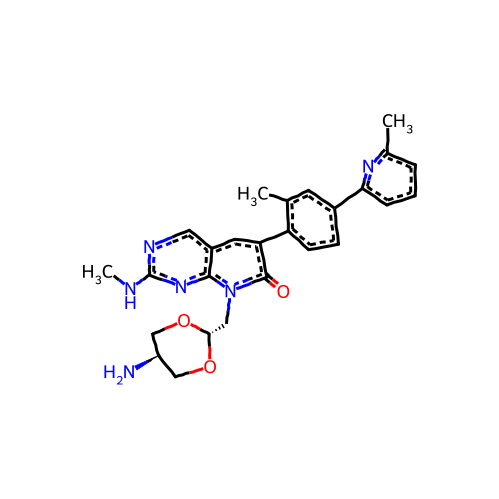 CNc1ncc2cc(-c3ccc(-c4cccc(C)n4)cc3C)c(=O)n(C[C@H]3OC[C@H](N)CO3)c2n1